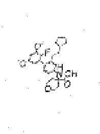 COc1cc(OC)c(F)c(-c2ccc(NC3(C(=O)O)CCOCC3)cc2CCC2CCCC2)c1